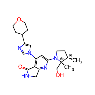 C[C@@H]1CCN(c2cc(-n3cnc(C4CCOCC4)c3)c3c(n2)CNC3=O)[C@@]1(C)CO